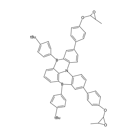 CC1OC1Oc1ccc(-c2ccc3c(c2)B(c2ccc(C(C)(C)C)cc2)c2cccc4c2N3c2ccc(-c3ccc(OC5OC5C)cc3)cc2B4c2ccc(C(C)(C)C)cc2)cc1